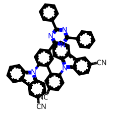 N#Cc1ccc(-n2c3ccccc3c3cc(C#N)ccc32)c(-c2cc(-c3nc(-c4ccccc4)nc(-c4ccccc4)n3)ccc2-n2c3ccccc3c3cc(C#N)ccc32)c1